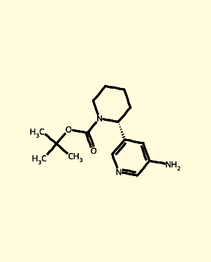 CC(C)(C)OC(=O)N1CCCC[C@@H]1c1cncc(N)c1